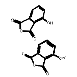 O=C1OC(=O)c2c(O)cccc21.O=C1OC(=O)c2c(O)cccc21